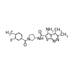 Cc1ccc(C(=O)N2CCC(NC(=O)c3sc4nnc(C)c(C)c4c3N)C2)cc1F